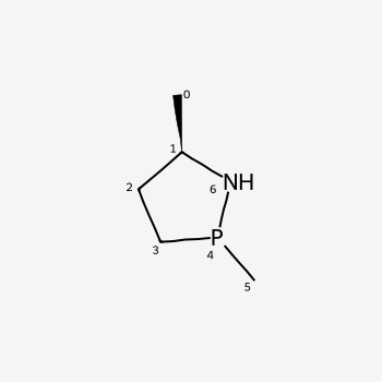 C[C@@H]1CCP(C)N1